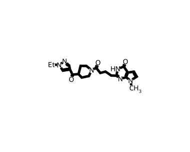 CCn1cc(C(=O)C2CCN(C(=O)CCCc3nc4c(ccn4C)c(=O)[nH]3)CC2)cn1